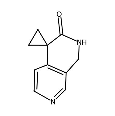 O=C1NCc2cnccc2C12CC2